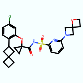 O=C(NS(=O)(=O)c1cccc(N2CC3(CCO3)C2)n1)C1(Oc2cc(Cl)ccc2C2CC3(CCC3)C2)CC1